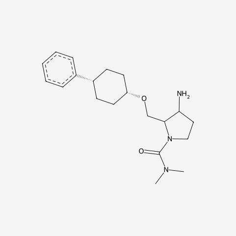 CN(C)C(=O)N1CCC(N)C1CO[C@H]1CC[C@@H](c2ccccc2)CC1